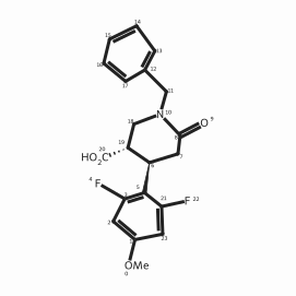 COc1cc(F)c([C@@H]2CC(=O)N(Cc3ccccc3)C[C@H]2C(=O)O)c(F)c1